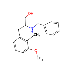 COc1cccc(CC(CO)NCc2ccccc2)c1C